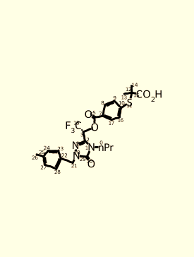 CCCn1c([C@@H](OC(=O)c2ccc(SC(C)(C)C(=O)O)cc2)C(F)(F)F)nn(Cc2ccc(C)cc2)c1=O